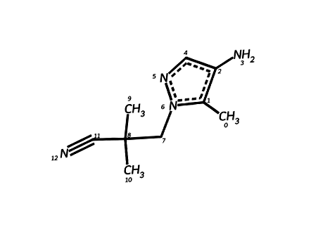 Cc1c(N)cnn1CC(C)(C)C#N